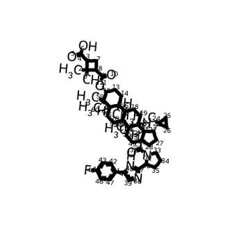 CC1(C)C(C(=O)O)CC1C(=O)O[C@H]1CC[C@]2(C)[C@H]3CC[C@@H]4[C@H]5[C@H](C6(C)CC6)CC[C@]5(C(=O)N5CCCC5c5ncc(-c6ccc(F)cc6)[nH]5)CC[C@@]4(C)[C@]3(C)CC[C@H]2C1(C)C